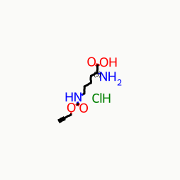 C#CCOC(=O)NCCCC[C@H](N)C(=O)O.Cl